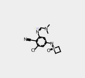 CN(C)/C=N\c1cc(N=S2(=O)CCC2)cc(Cl)c1C#N